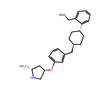 CNCc1ccccc1[C@H]1CC[C@H](Cc2cccc(O[C@H]3CN[C@H](C(=O)O)C3)c2)CC1